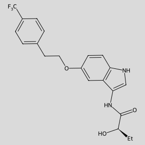 CC[C@@H](O)C(=O)Nc1c[nH]c2ccc(OCCc3ccc(C(F)(F)F)cc3)cc12